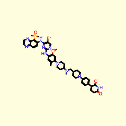 COc1cc(N2CCC(N(C)CC3CCN(c4ccc(C5CCC(=O)NC5=O)cc4)CC3)CC2)c(C)cc1Nc1ncc(Br)c(Nc2ccc3nccnc3c2P(C)(C)=O)n1